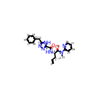 C=C[C@@H](C)[C@H](NC(=O)c1nnc(Cc2ccccc2)[nH]1)C(=O)N(C)c1ccccn1